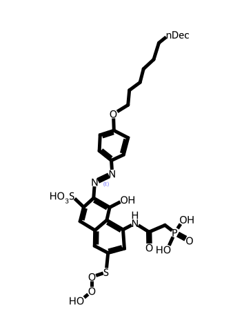 CCCCCCCCCCCCCCCCOc1ccc(/N=N/c2c(S(=O)(=O)O)cc3cc(SOOO)cc(NC(=O)CP(=O)(O)O)c3c2O)cc1